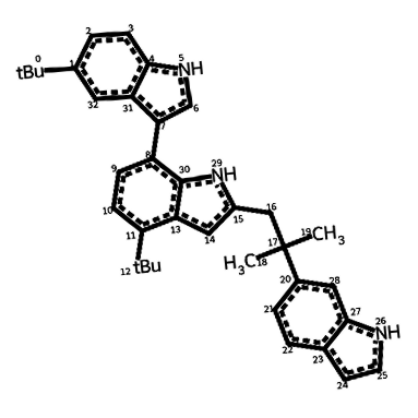 CC(C)(C)c1ccc2[nH]cc(-c3ccc(C(C)(C)C)c4cc(CC(C)(C)c5ccc6cc[nH]c6c5)[nH]c34)c2c1